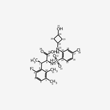 Cc1ccc(F)c([C@@H](C)[C@H](NS(=O)(=O)c2ccc(Cl)cc2NC2CC(O)C2)C(=O)O)c1C